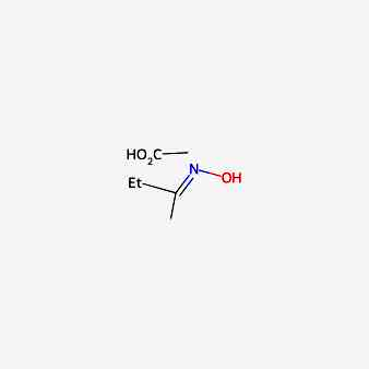 CC(=O)O.CCC(C)=NO